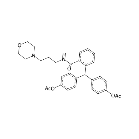 CC(=O)Oc1ccc(C(c2ccc(OC(C)=O)cc2)c2ccccc2C(=O)NCCCN2CCOCC2)cc1